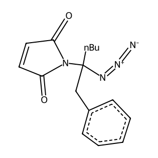 CCCCC(Cc1ccccc1)(N=[N+]=[N-])N1C(=O)C=CC1=O